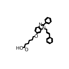 O=C(O)CCCCCOc1ccc2nc(-c3ccccc3)n(CC=Cc3ccccc3)c2c1